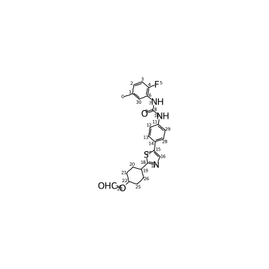 Cc1ccc(F)c(NC(=O)Nc2ccc(-c3cnc(C4CCC(OC=O)CC4)s3)cc2)c1